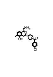 Cc1ccc2c(c1O)C[C@@H](C1CCN(C(=O)c3ccc(Cl)cc3)CC1)O[C@H]2CN